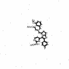 CCCNc1nccc(-c2c(-c3ccc(F)cc3)nc3n2C(CN(CCOC)Cc2cccc(OCC)c2)CC3)n1